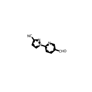 N#Cc1ccn(-c2ccc(C=O)cn2)n1